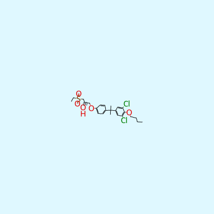 CCCCOc1c(Cl)cc(C(C)(C)c2ccc(OC[C@H](O)CS(=O)(=O)CC)cc2)cc1Cl